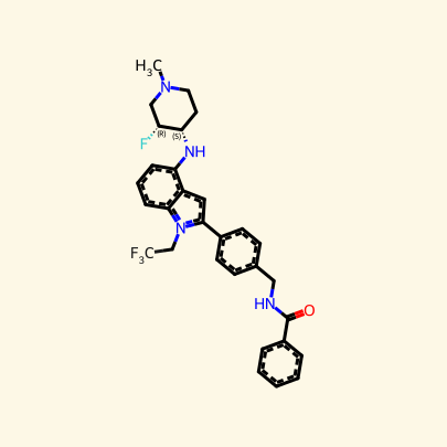 CN1CC[C@H](Nc2cccc3c2cc(-c2ccc(CNC(=O)c4ccccc4)cc2)n3CC(F)(F)F)[C@H](F)C1